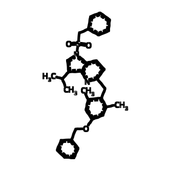 Cc1cc(OCc2ccccc2)cc(C)c1Cc1ccc2c(n1)c(C(C)C)cn2S(=O)(=O)Cc1ccccc1